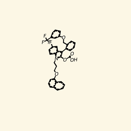 O=C(O)Oc1c(-c2ccccc2COc2cccc(C(F)(F)F)c2)c2cc(F)ccc2n1CCCOc1cccc2ccccc12